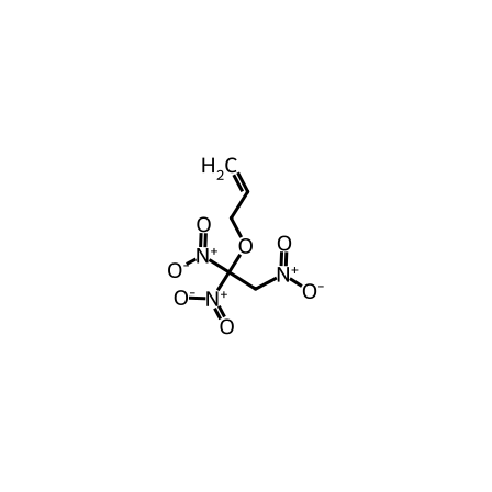 C=CCOC(C[N+](=O)[O-])([N+](=O)[O-])[N+](=O)[O-]